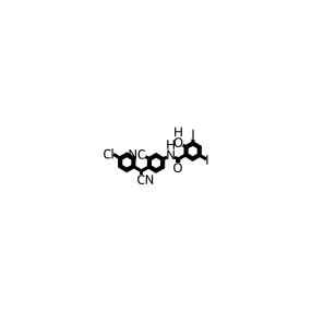 N#Cc1cc(NC(=O)c2cc(I)cc(I)c2O)ccc1C(C#N)c1ccc(Cl)cc1